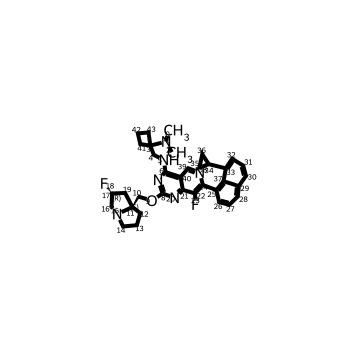 CN(C)C1(CNc2nc(OC[C@@]34CCCN3C[C@H](F)C4)nc3c(F)c(-c4cccc5cccc(C6CC6)c45)ncc23)CCC1